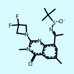 CC(=N[S@+]([O-])C(C)(C)C)c1cc(C)cc2c(=O)n(C)c(N3CC(F)(F)C3)nc12